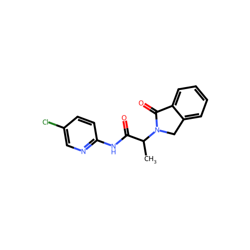 CC(C(=O)Nc1ccc(Cl)cn1)N1Cc2ccccc2C1=O